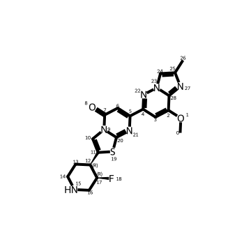 COc1cc(-c2cc(=O)n3cc([C@@H]4CCNC[C@@H]4F)sc3n2)nn2cc(C)nc12